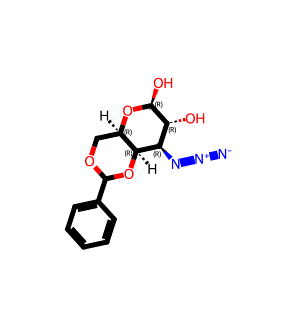 [N-]=[N+]=N[C@@H]1[C@@H](O)[C@H](O)O[C@@H]2COC(c3ccccc3)O[C@H]12